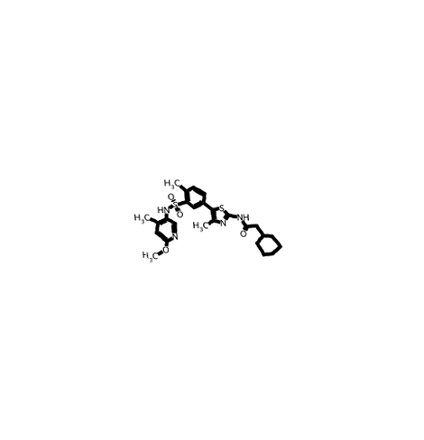 COc1cc(C)c(NS(=O)(=O)c2cc(-c3sc(NC(=O)CC4CCCCC4)nc3C)ccc2C)cn1